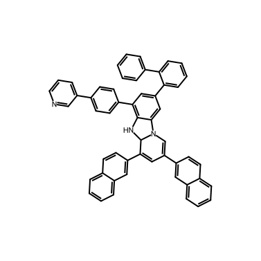 C1=C(c2ccc3ccccc3c2)C=C(c2ccc3ccccc3c2)C2Nc3c(-c4ccc(-c5cccnc5)cc4)cc(-c4ccccc4-c4ccccc4)cc3N12